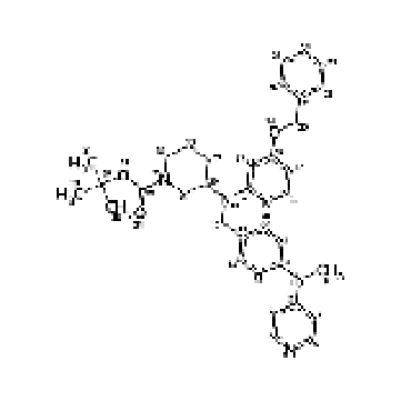 CN(c1ccncc1)c1ccc(CN(c2nccc(OCc3ccccc3)n2)C2CCCN(C(=O)OC(C)(C)C)C2)cc1